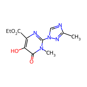 CCOC(=O)c1nc(-n2cnc(C)n2)n(C)c(=O)c1O